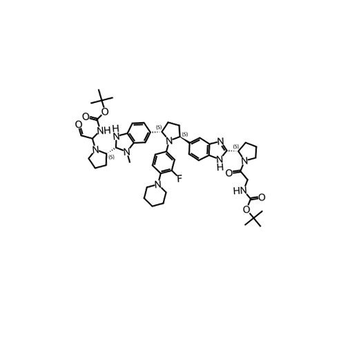 CN1c2cc([C@@H]3CC[C@@H](c4ccc5[nH]c([C@@H]6CCCN6C(=O)CNC(=O)OC(C)(C)C)nc5c4)N3c3ccc(N4CCCCC4)c(F)c3)ccc2NC1[C@@H]1CCCN1C(C=O)NC(=O)OC(C)(C)C